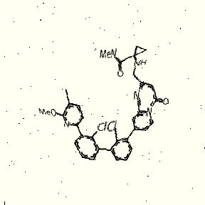 [CH2]c1ccc(-c2cccc(-c3cccc(-c4ccn5c(=O)cc(CNC6(C(=O)NC)CC6)nc5c4)c3Cl)c2Cl)nc1OC